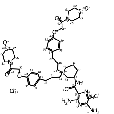 Nc1nc(N)c(C(=O)N[C@H]2CCC[N+](CCCc3ccc(OCC(=O)N4CC[S+]([O-])CC4)cc3)(CCCc3ccc(OCC(=O)N4CC[S+]([O-])CC4)cc3)C2)nc1Cl.[Cl-]